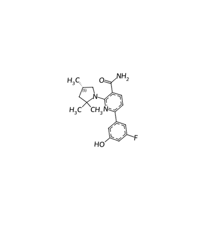 C[C@@H]1CN(c2nc(-c3cc(O)cc(F)c3)ccc2C(N)=O)C(C)(C)C1